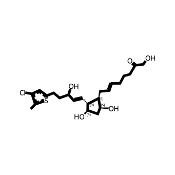 Cc1sc(CCC(O)C=C[C@@H]2[C@@H](CC=CCCCC(=O)CO)[C@@H](O)C[C@H]2O)cc1Cl